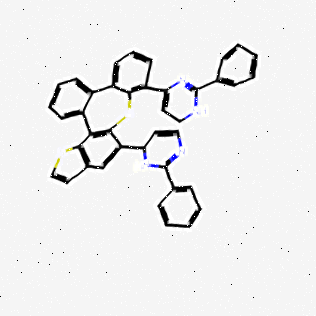 C1=CC(c2cc3ccsc3c3c2Sc2c(C4=CCNC(c5ccccc5)=N4)cccc2-c2ccccc2-3)NC(c2ccccc2)=N1